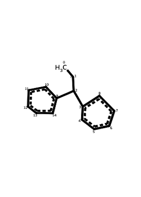 C[C]C(c1ccccc1)c1ccccc1